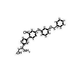 N[C@@H](CO)c1nc(-c2ccc(Sc3cccc(OCc4ccccc4)c3)cc2Cl)cs1